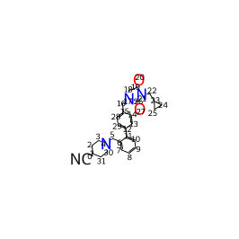 N#CC1CCN(Cc2ccccc2-c2ccc(CN3CC(=O)N(CC4CC4)C3=O)cc2)CC1